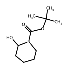 CC(C)(C)OC(=O)N1CCCCC1O